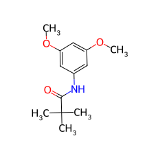 COc1cc(NC(=O)C(C)(C)C)cc(OC)c1